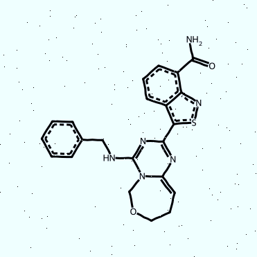 NC(=O)c1cccc2c(C3=NC4=CCCOCN4C(NCc4ccccc4)=N3)snc12